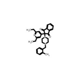 CCc1cc(C2(N3CCN(Cc4ccccc4C)CC3)C(=O)c3ccccc3C2=O)cc(CC)n1